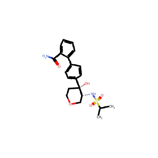 CC(C)S(=O)(=O)N[C@@H]1COCC[C@@]1(O)c1ccc(-c2ccccc2C(N)=O)cc1